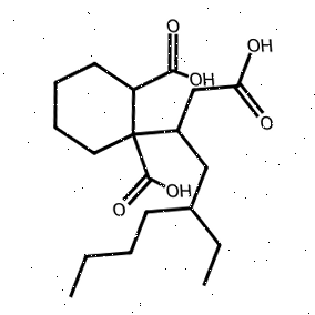 CCCCC(CC)CC(CC(=O)O)C1(C(=O)O)CCCCC1C(=O)O